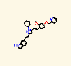 COc1cc(OCc2ccccn2)ccc1C=Cc1cc(C=Cc2ccc3cc[nH]c3c2)nn1C1CCCCC1